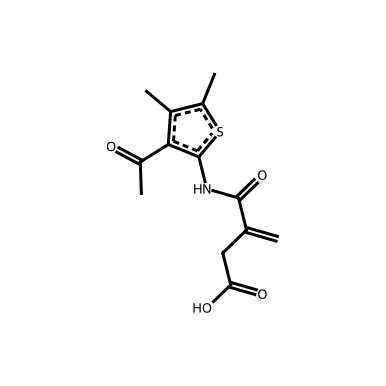 C=C(CC(=O)O)C(=O)Nc1sc(C)c(C)c1C(C)=O